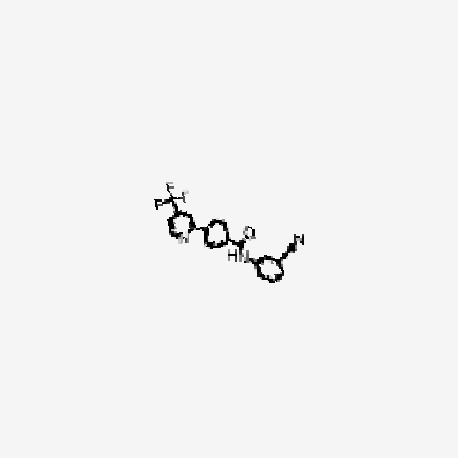 N#Cc1cccc(NC(=O)c2ccc(-c3cc(C(F)(F)F)ccn3)cc2)c1